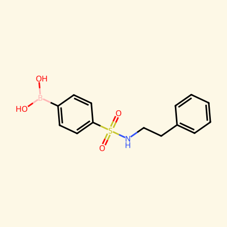 O=S(=O)(NCCc1ccccc1)c1ccc(B(O)O)cc1